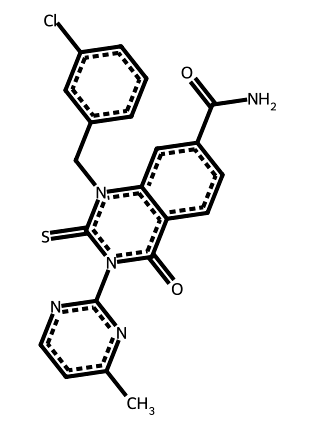 Cc1ccnc(-n2c(=O)c3ccc(C(N)=O)cc3n(Cc3cccc(Cl)c3)c2=S)n1